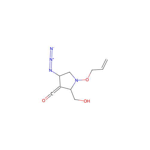 C=CCON1CC(N=[N+]=[N-])C(=C=O)C1CO